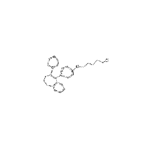 ClCCCCCOc1ccc(C2=C(c3ccccc3)CCCc3ccccc32)cc1